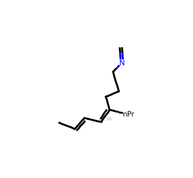 C=NCCC/C(=C\C=CC)CCC